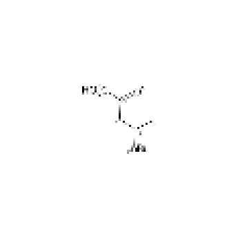 CCCCC(C)CC(=O)C(=O)O